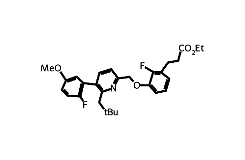 CCOC(=O)CCc1cccc(OCc2ccc(-c3cc(OC)ccc3F)c(CC(C)(C)C)n2)c1F